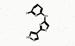 Fc1cccc(Nc2csc(-c3cn[nH]c3)n2)n1